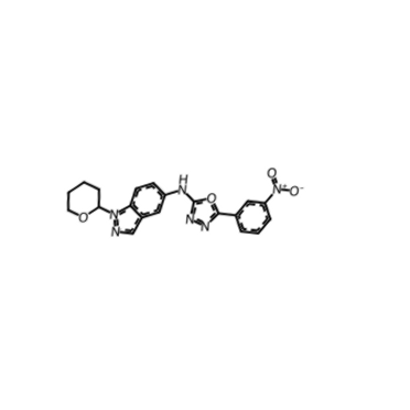 O=[N+]([O-])c1cccc(-c2nnc(Nc3ccc4c(cnn4C4CCCCO4)c3)o2)c1